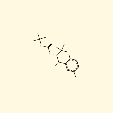 CC(C)(C)NC(=O)N[C@H]1[C@H](O)c2cc(Cl)ccc2OC1(C)C